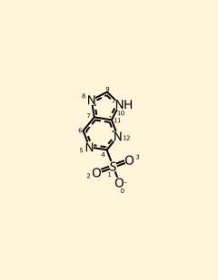 [O]S(=O)(=O)c1ncc2nc[nH]c2n1